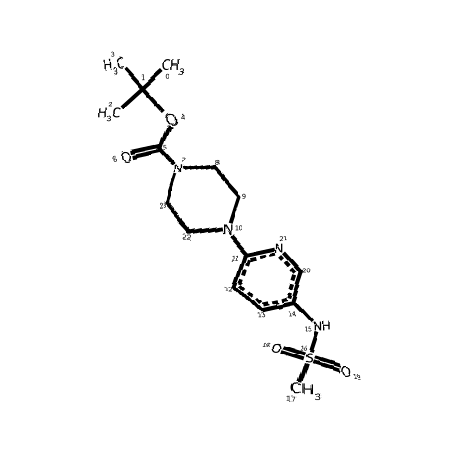 CC(C)(C)OC(=O)N1CCN(c2ccc(NS(C)(=O)=O)cn2)CC1